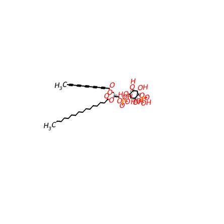 CC#CC#CC#CC#CC#CC(=O)OC[C@H](COP(=O)(O)OC1C(O)[C@@H](O)C(O)[C@@H](OP(=O)(O)O)[C@H]1O)OC(=O)CCCCCCCCCCCCCCC